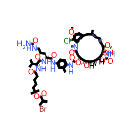 C=C(CBr)C(=O)OC(C)(C)CCCCC(=O)N[C@H](C(=O)N[C@@H](CCCNC(N)=O)C(=O)Nc1ccc(NC(=O)O[C@H]2CC(=O)N(C)c3cc(cc(OC)c3Cl)C/C(C)=C/C=C/[C@@H](OC)[C@@]3(O)C[C@H](OC(=O)N3)[C@@H](C)[C@@H]3O[C@@]23C)c(C)c1)C(C)C